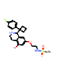 CCCS(=O)(=O)NCCOc1cc(Br)c2c(c1)C(C1(c3ccc(F)cc3)CCC1)NCC2